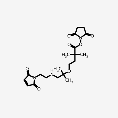 CC(C)(CNCCN1C(=O)C=CC1=O)OCCC(C)(C)C(=O)ON1C(=O)CCC1=O